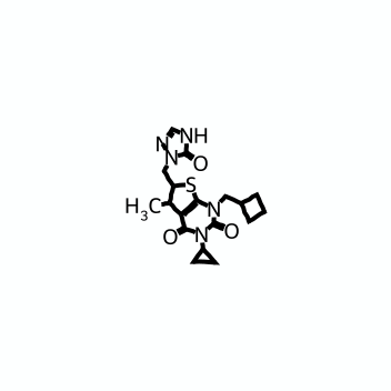 CC1c2c(n(CC3CCC3)c(=O)n(C3CC3)c2=O)SC1Cn1nc[nH]c1=O